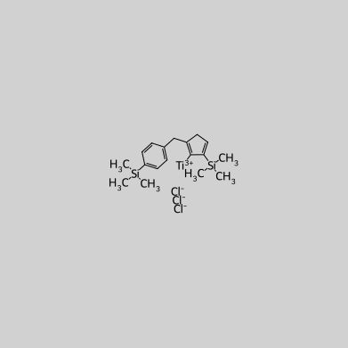 C[Si](C)(C)C1=CCC(Cc2ccc([Si](C)(C)C)cc2)=[C]1[Ti+3].[Cl-].[Cl-].[Cl-]